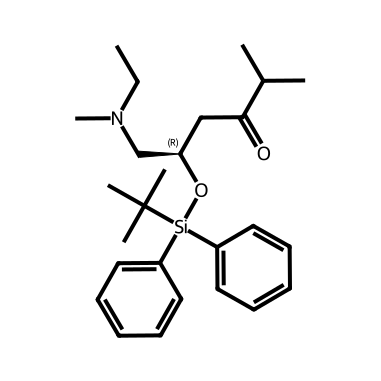 CCN(C)C[C@@H](CC(=O)C(C)C)O[Si](c1ccccc1)(c1ccccc1)C(C)(C)C